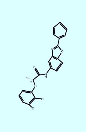 C[C@@H](Oc1cccc(Cl)c1Cl)C(=O)Nc1ccc2oc(-c3ccccc3)nc2c1